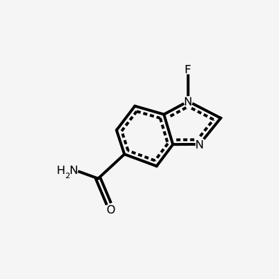 NC(=O)c1ccc2c(c1)ncn2F